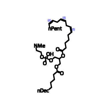 CCCCC/C=C\C/C=C\C/C=C\CCCCC(=O)OC(COC(=O)CCCCCCCCCCCCCC)COP(=O)(O)OCCNC